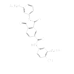 CC(=O)Nc1cccc(N2C(=O)c3ccc(C(=O)Nc4ccc(C)c(NC(C)=O)c4)cc3C2=O)c1